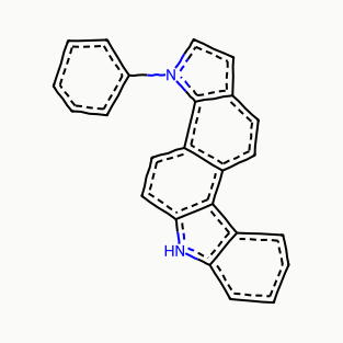 c1ccc(-n2ccc3ccc4c(ccc5[nH]c6ccccc6c54)c32)cc1